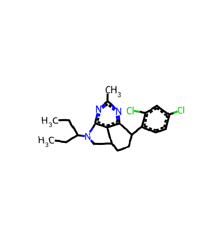 CCC(CC)N1CC2CCC(c3ccc(Cl)cc3Cl)c3nc(C)nc1c32